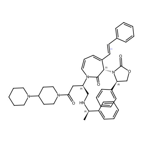 C[C@@H](NC[C@@H](CC(=O)N1CCC(N2CCCCC2)CC1)N1C=CC=C(/C=C/c2ccccc2)[C@H](N2C(=O)OC[C@H]2c2ccccc2)C1=O)c1ccccc1